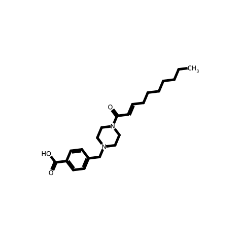 CCCCCCCC=CC(=O)N1CCN(Cc2ccc(C(=O)O)cc2)CC1